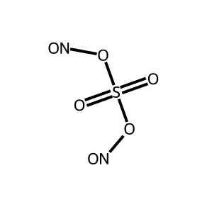 O=NOS(=O)(=O)ON=O